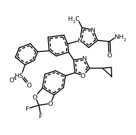 Cc1nc(C(N)=O)cn1-c1ccc(-c2cccc([SH](=O)=O)c2)cc1-c1nc(C2CC2)oc1-c1ccc2c(c1)OC(F)(F)O2